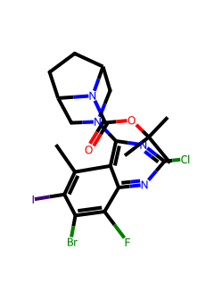 Cc1c(I)c(Br)c(F)c2nc(Cl)nc(N3CC4CCC(C3)N4C(=O)OC(C)(C)C)c12